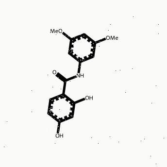 COc1cc(NC(=O)c2ccc(O)cc2O)cc(OC)c1